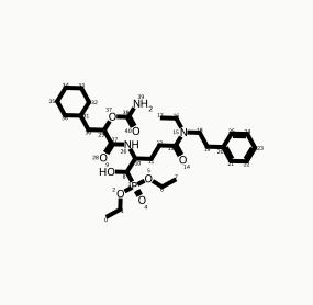 CCOP(=O)(OCC)C(O)C(CCC(=O)N(CC)CCc1ccccc1)NC(=O)C(CC1CCCCC1)OC(N)=O